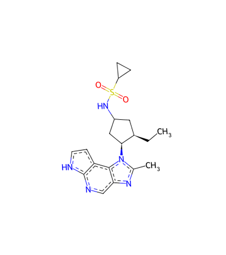 CC[C@@H]1CC(NS(=O)(=O)C2CC2)C[C@@H]1n1c(C)nc2cnc3[nH]ccc3c21